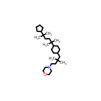 CC(C)(CCN1CCOCC1)CC1CCC(C(C)(C)CCC(C)(C)C2CCCC2)CC1